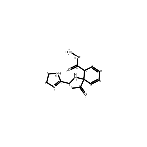 CC(=O)C1(NCC2=NCCN2)C=CC=CC1C(=O)NN